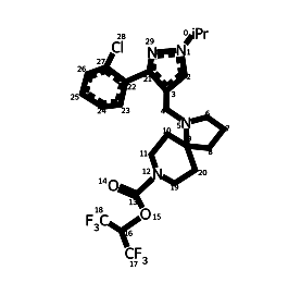 CC(C)n1cc(CN2CCCC23CCN(C(=O)OC(C(F)(F)F)C(F)(F)F)CC3)c(-c2ccccc2Cl)n1